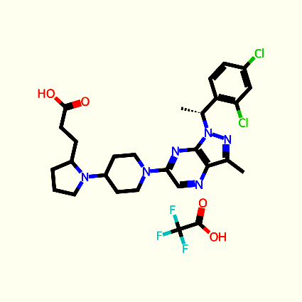 Cc1nn([C@H](C)c2ccc(Cl)cc2Cl)c2nc(N3CCC(N4CCCC4CCC(=O)O)CC3)cnc12.O=C(O)C(F)(F)F